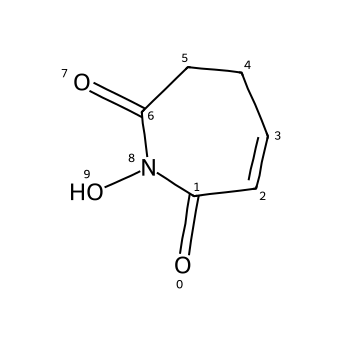 O=C1C=CCCC(=O)N1O